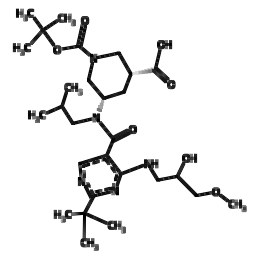 COCC(O)CNc1nc(C(C)(C)C)ncc1C(=O)N(CC(C)C)[C@H]1C[C@@H](C(=O)O)CN(C(=O)OC(C)(C)C)C1